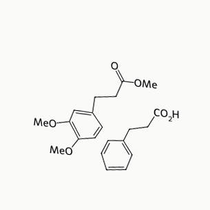 COC(=O)CCc1ccc(OC)c(OC)c1.O=C(O)CCc1ccccc1